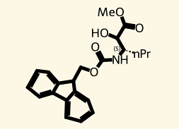 CCC[C@H](NC(=O)OCC1c2ccccc2-c2ccccc21)C(O)C(=O)OC